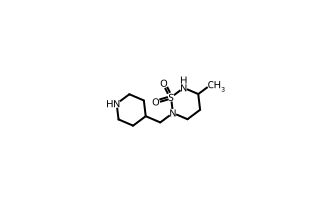 CC1CCN(CC2CCNCC2)S(=O)(=O)N1